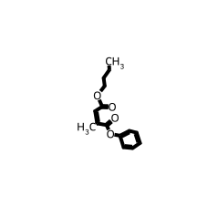 CCCCOC(=O)/C=C(/C)C(=O)Oc1ccccc1